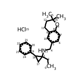 CCC1(NCc2ccc3c(c2)CCC(C)(C)O3)CC1c1ccccc1.Cl